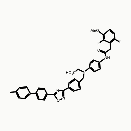 COc1ccc(F)c(CC(=O)Nc2ccc(N(CC(=O)O)Cc3ccc(-c4noc(-c5ccc(-c6ccc(C)cc6)cc5)n4)cc3)cc2)c1F